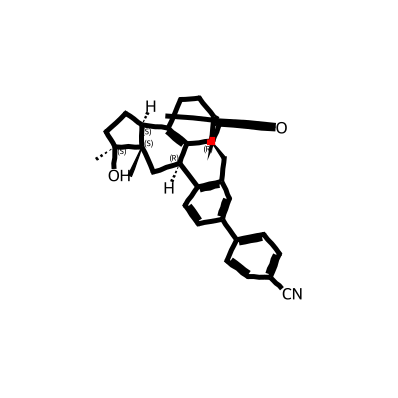 C[C@]1(O)CC[C@H]2C3=C4[C@H](C[C@@]21C)c1ccc(-c2ccc(C#N)cc2)cc1C[C@@]41CCC(=O)C=C1CC3